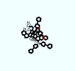 C=C/C=C\c1c(N(c2ccc(-c3ccccc3)cc2)c2ccc(-c3ccccc3)cc2)cc2c(c1C)-c1c(ccc3ccccc13)C2(C)C1(C)c2ccc3ccccc3c2-c2c1cc(N(c1ccc(-c3ccccc3)cc1)c1ccc(-c3ccccc3)cc1)c1ccccc21